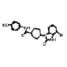 O=C(Nc1ccc(O)cc1)C1CCC(n2c(=O)[nH]c3c(Br)cccc32)CC1